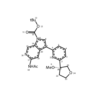 CO[C@@]1(c2cccc(-c3cn(C(=O)OC(C)(C)C)c4cnc(NC(C)=O)cc34)n2)CCOC1